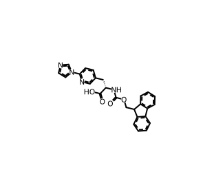 O=C(N[C@@H](Cc1ccc(-n2ccnc2)nc1)C(=O)O)OCC1c2ccccc2-c2ccccc21